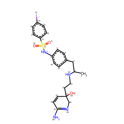 CC(Cc1ccc(NS(=O)(=O)c2ccc(I)cc2)cc1)NCCC1(O)C=CC(N)=NC1